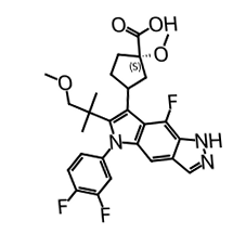 COCC(C)(C)c1c(C2CC[C@@](OC)(C(=O)O)C2)c2c(F)c3[nH]ncc3cc2n1-c1ccc(F)c(F)c1